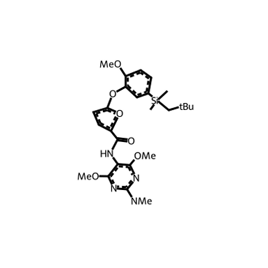 CNc1nc(OC)c(NC(=O)c2ccc(Oc3cc([Si](C)(C)CC(C)(C)C)ccc3OC)o2)c(OC)n1